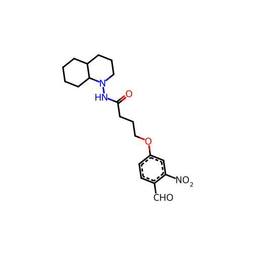 O=Cc1ccc(OCCCC(=O)NN2CCCC3CCCCC32)cc1[N+](=O)[O-]